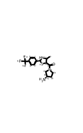 CC1NC(c2ccc(C(F)(F)F)cc2)SC1C(=O)N1CC[C@@H](N)C1